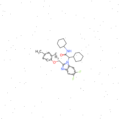 Cc1ccc(OCc2nc3cc(F)c(F)cc3n2C(C(=O)NC2CCCCC2)C2CCCCC2)c(C)c1